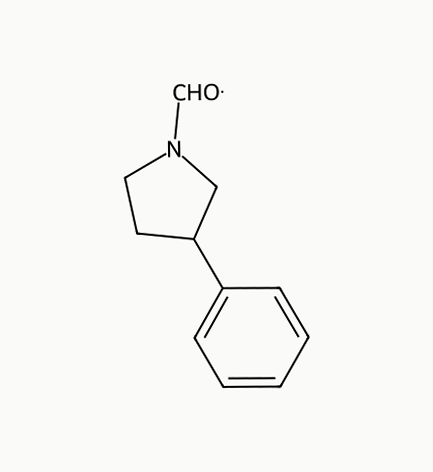 O=[C]N1CCC(c2ccccc2)C1